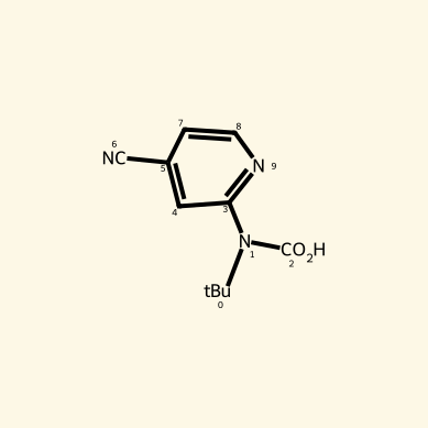 CC(C)(C)N(C(=O)O)c1cc(C#N)ccn1